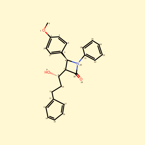 COc1ccc([C@@H]2C([C@@H](O)CCc3ccccc3)C(=O)N2c2ccccc2)cc1